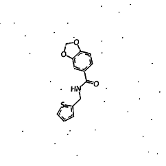 O=C(NCc1cccs1)c1ccc2c(c1)OCO2